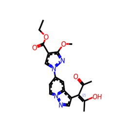 CCOC(=O)c1cn(-c2ccn3ncc(/C(C(C)=O)=C(\C)O)c3c2)nc1OC